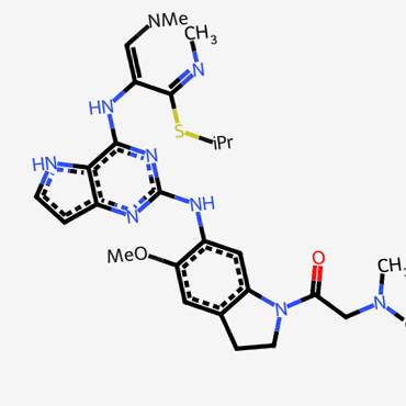 C/N=C(SC(C)C)\C(=C/NC)Nc1nc(Nc2cc3c(cc2OC)CCN3C(=O)CN(C)C)nc2cc[nH]c12